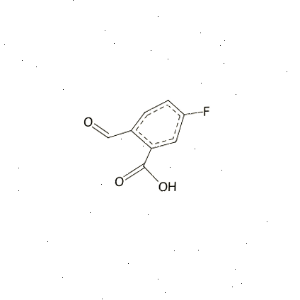 O=Cc1ccc(F)cc1C(=O)O